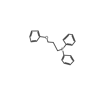 c1ccc(OCCCP(c2ccccc2)c2ccccc2)cc1